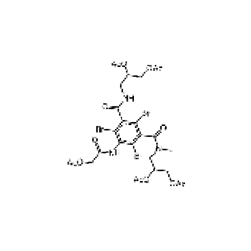 CC(=O)OCC(=O)Nc1c(Br)c(C(=O)NCC(COC(C)=O)OC(C)=O)c(Br)c(C(=O)N(C)CC(COC(C)=O)OC(C)=O)c1Br